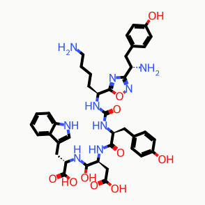 NCCCC[C@H](NC(=O)N[C@@H](Cc1ccc(O)cc1)C(=O)N[C@@H](CC(=O)O)C(O)N[C@@H](Cc1c[nH]c2ccccc12)C(=O)O)c1nc([C@@H](N)Cc2ccc(O)cc2)no1